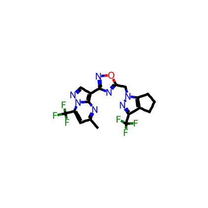 Cc1cc(C(F)(F)F)n2ncc(-c3noc(Cn4nc(C(F)(F)F)c5c4CCC5)n3)c2n1